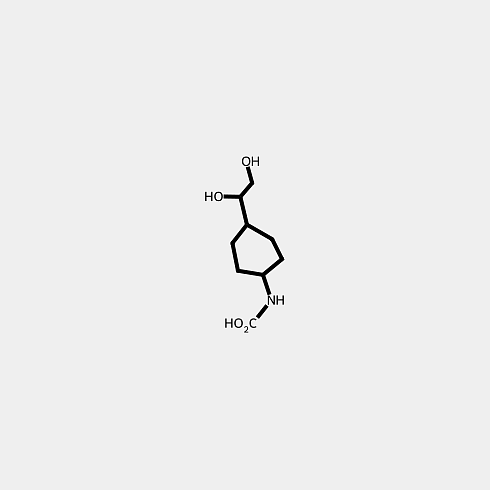 O=C(O)NC1CCC(C(O)CO)CC1